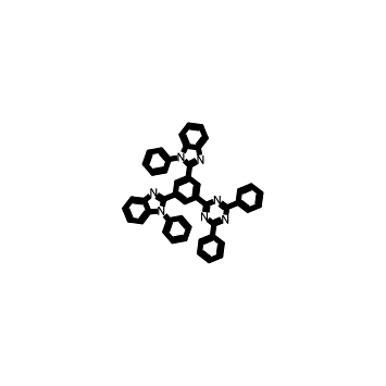 c1ccc(-c2nc(-c3ccccc3)nc(-c3cc(-c4nc5ccccc5n4-c4ccccc4)cc(-c4nc5ccccc5n4-c4ccccc4)c3)n2)cc1